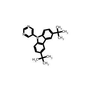 CC(C)(C)c1ccc2c(c1)c1cc(C(C)(C)C)ccc1n2-c1cncnc1